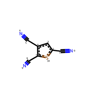 N#Cc1cc(C#N)c(C#N)s1